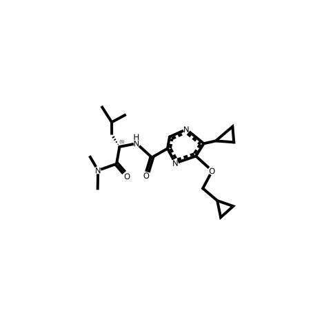 CC(C)C[C@H](NC(=O)c1cnc(C2CC2)c(OCC2CC2)n1)C(=O)N(C)C